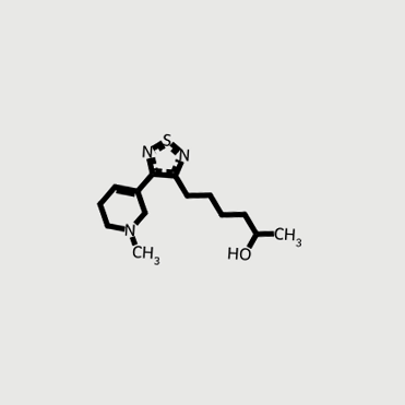 CC(O)CCCCc1nsnc1C1=CCCN(C)C1